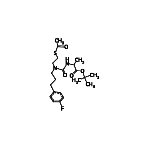 CC(=O)SCCN(CCCc1ccc(F)cc1)C(=O)NC(C)C(=O)OC(C)(C)C